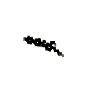 CCCCc1ccc(NC(=O)c2ccc(-c3ccc(F)cc3)cc2)cc1C